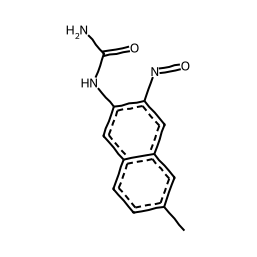 Cc1ccc2cc(NC(N)=O)c(N=O)cc2c1